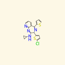 Clc1ccc(C2N=C(c3cccs3)c3cccnc3N=C2NC2CC2)s1